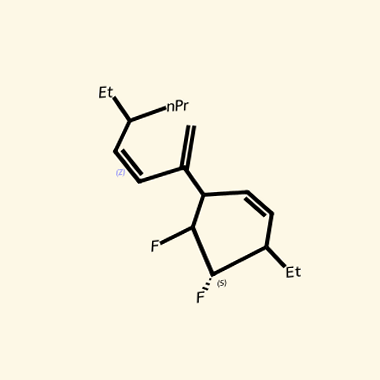 C=C(/C=C\C(CC)CCC)C1C=CC(CC)[C@H](F)C1F